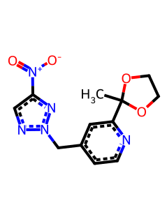 CC1(c2cc(Cn3ncc([N+](=O)[O-])n3)ccn2)OCCO1